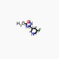 Cc1nc(-c2cncc(F)c2)no1